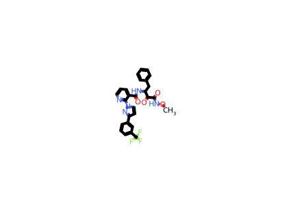 CONC(=O)C(=O)C(Cc1ccccc1)NC(=O)c1cccnc1-n1ccc(-c2cccc(C(F)(F)F)c2)n1